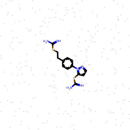 N=C(N)SCCc1ccc(-n2nccc2SC(=N)N)cc1